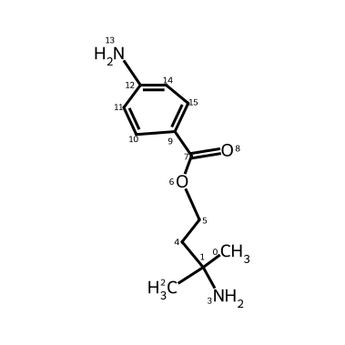 CC(C)(N)CCOC(=O)c1ccc(N)cc1